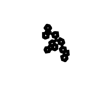 c1cc(-c2ccc3c(ccc4ccccc43)c2)cc(N(c2cccc(-n3c4ccccc4c4ccccc43)c2)c2ccc3c4c(cccc24)-c2ccccc2-3)c1